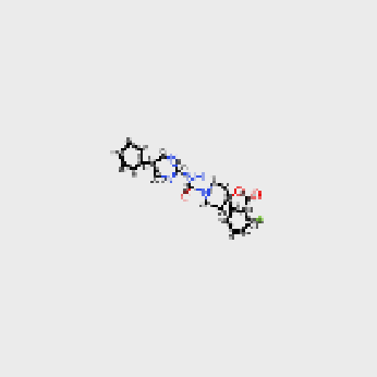 O=C1OC2(CCN(C(=O)Nc3ncc(-c4ccccc4)cn3)CC2)c2cccc(F)c21